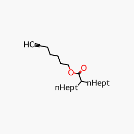 C#CCCCCCOC(=O)C(CCCCCCC)CCCCCCC